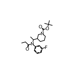 CCC(=O)N(c1cccc(F)c1)C(C)C1CCCN(C(=O)OC(C)(C)C)C1